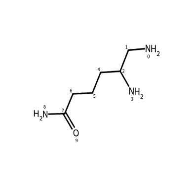 NCC(N)CCCC(N)=O